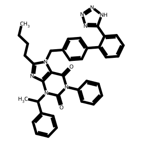 CCCCc1nc2c(c(=O)n(-c3ccccc3)c(=O)n2C(C)c2ccccc2)n1Cc1ccc(-c2ccccc2-c2nnn[nH]2)cc1